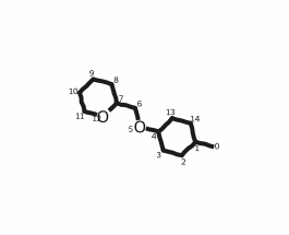 CC1CCC(OCC2CCCCO2)CC1